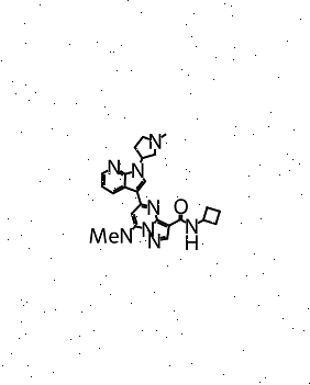 CNc1cc(-c2cn(C3CCN(C)C3)c3ncccc23)nc2c(C(=O)NC3CCC3)cnn12